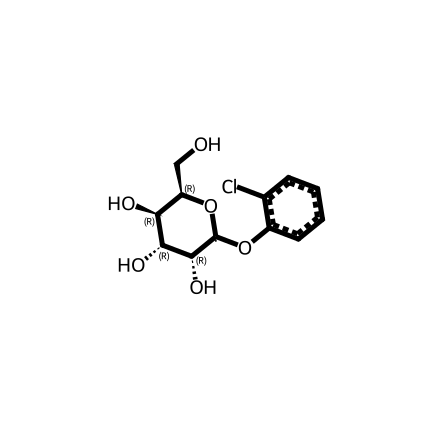 OC[C@H]1O[C](Oc2ccccc2Cl)[C@H](O)[C@H](O)[C@H]1O